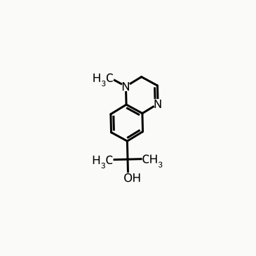 CN1CC=Nc2cc(C(C)(C)O)ccc21